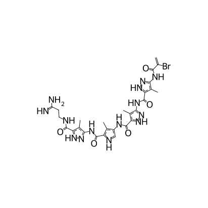 C=C(Br)C(=O)Nc1n[nH]c(C(=O)Nc2n[nH]c(C(=O)Nc3c[nH]c(C(=O)Nc4n[nH]c(C(=O)NCCC(=N)N)c4C)c3C)c2C)c1C